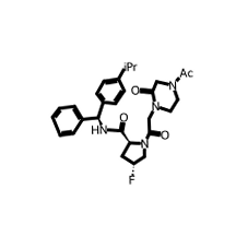 CC(=O)N1CCN(CC(=O)N2C[C@H](F)C[C@H]2C(=O)N[C@@H](c2ccccc2)c2ccc(C(C)C)cc2)C(=O)C1